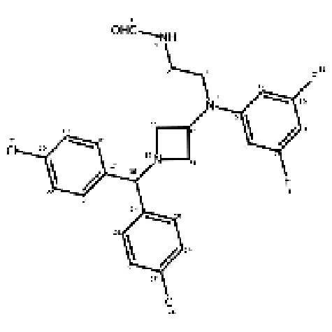 O=CNCCN(c1cc(F)cc(F)c1)C1CN(C(c2ccc(Cl)cc2)c2ccc(Cl)cc2)C1